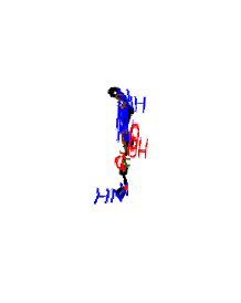 Cc1cc(N(C)c2nc(C(=O)O)c(CCCOc3ccc(C#CCN4CCNCC4)cc3F)s2)nnc1Nc1nc2ccccc2s1